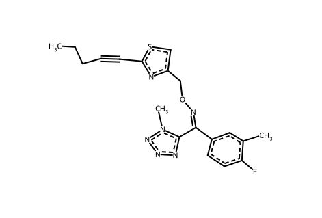 CCCC#Cc1nc(CO/N=C(/c2ccc(F)c(C)c2)c2nnnn2C)cs1